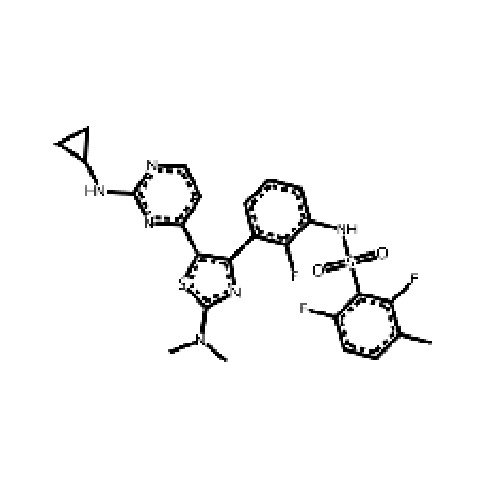 Cc1ccc(F)c(S(=O)(=O)Nc2cccc(-c3nc(N(C)C)sc3-c3ccnc(NC4CC4)n3)c2F)c1F